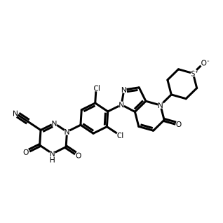 N#Cc1nn(-c2cc(Cl)c(-n3ncc4c3ccc(=O)n4C3CC[S+]([O-])CC3)c(Cl)c2)c(=O)[nH]c1=O